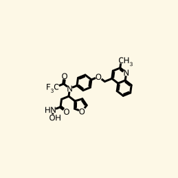 Cc1cc(COc2ccc(N(C(=O)C(F)(F)F)C(CC(=O)NO)c3ccoc3)cc2)c2ccccc2n1